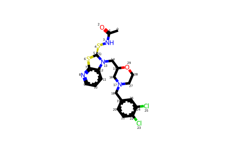 CC(=O)NS[C@@H]1Sc2ncccc2N1CC1CN(Cc2ccc(Cl)c(Cl)c2)CCO1